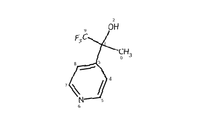 CC(O)(c1ccncc1)C(F)(F)F